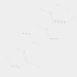 Cc1cc(-c2ccc(Br)cc2[N+](=O)[O-])c(C)cc1-c1ccccc1[N+](=O)[O-]